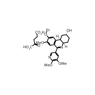 CCOc1cc2c(cc1OC)C(c1cnc(OC)c(OC)c1)=N[C@@H]1CC[C@@H](O)C[C@H]21.O=C(O)CCC(=O)C(=O)O